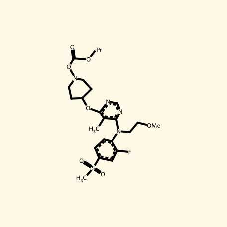 COCCN(c1ccc(S(C)(=O)=O)cc1F)c1ncnc(OC2CCN(OC(=O)OC(C)C)CC2)c1C